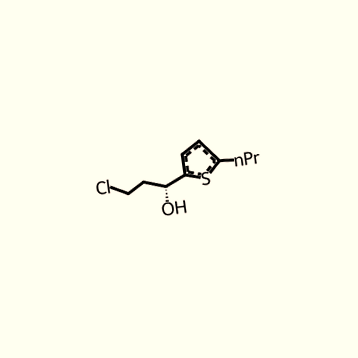 CCCc1ccc([C@H](O)CCCl)s1